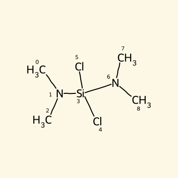 CN(C)[Si](Cl)(Cl)N(C)C